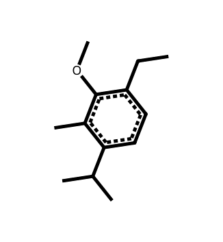 CCc1ccc(C(C)C)c(C)c1OC